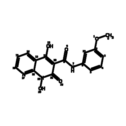 COc1cccc(NC(=O)c2c(O)c3cccnc3n(O)c2=O)c1